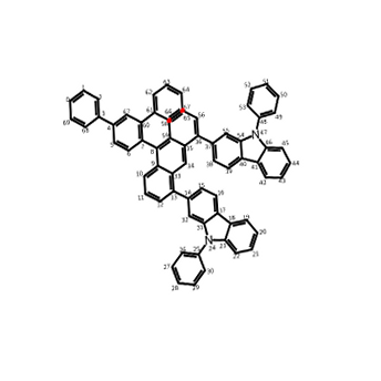 c1ccc(-c2ccc(-c3c4cccc(-c5ccc6c7ccccc7n(-c7ccccc7)c6c5)c4cc4c(-c5ccc6c7ccccc7n(-c7ccccc7)c6c5)cccc34)c(-c3ccccc3)c2)cc1